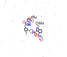 COCCn1cc(C(=O)N2CCC(c3cc(CNC(=O)C(NC(=O)OC(C)(C)C)C(C)C)ccc3F)CC2)c2c(C(=O)N3CCOCC3)cccc21